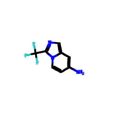 Nc1ccn2c(C(F)(F)F)ncc2c1